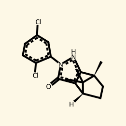 CC1(C)[C@@H]2CC[C@@]1(C)c1[nH]n(-c3cc(Cl)ccc3Cl)c(=O)c12